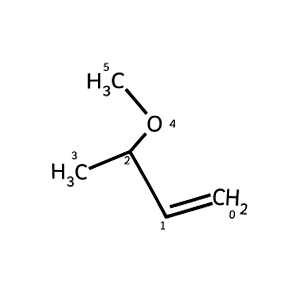 C=CC(C)OC